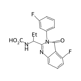 CCC(NC(=O)O)c1nc2cccc(F)c2c(=O)n1-c1cccc(F)c1